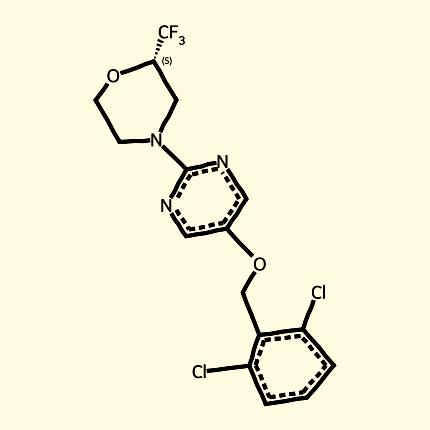 FC(F)(F)[C@@H]1CN(c2ncc(OCc3c(Cl)cccc3Cl)cn2)CCO1